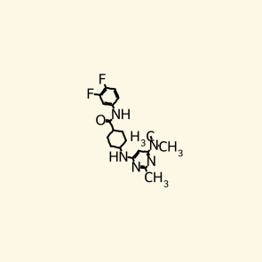 Cc1nc(NC2CCC(C(=O)Nc3ccc(F)c(F)c3)CC2)cc(N(C)C)n1